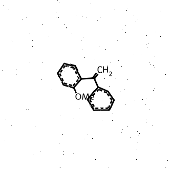 C=C(c1ccccc1)c1ccccc1OC